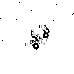 Cc1cccc(C)c1Nc1nc(Nc2cc3c(cc2F)CCN(C)C3)nnc1C(N)=O